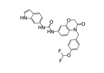 O=C(Nc1ccc2c(c1)OCC(=O)N2Cc1ccc(OC(F)F)cc1)Nc1ccc2cc[nH]c2c1